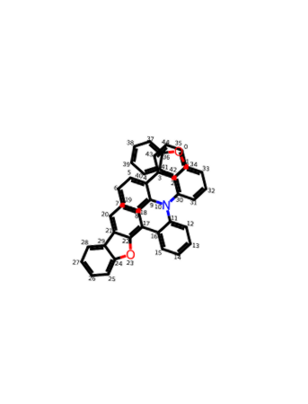 c1ccc(-c2ccccc2N(c2ccccc2-c2cccc3c2oc2ccccc23)c2cccc3oc4ccccc4c23)cc1